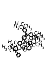 Cc1cc2c3c(c1)N(Cc1ccc(C(C)(C)C)cc1-c1ccccc1)c1oc4ccccc4c1B3N(c1ccc3c(c1)C(C)(C)CCC3(C)C)c1cc(N(c3ccc(C(C)(C)C)cc3)c3ccc(C(C)(C)C)cc3)ccc1-2